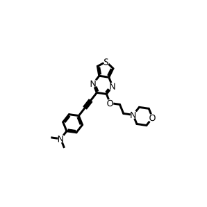 CN(C)c1ccc(C#Cc2nc3cscc3nc2OCCN2CCOCC2)cc1